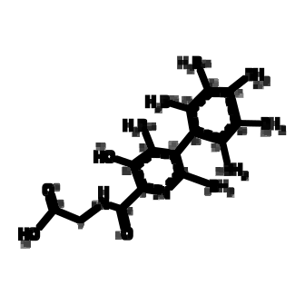 Bc1nc(C(=O)NCC(=O)O)c(O)c(B)c1-c1c(B)c(B)c(B)c(B)c1B